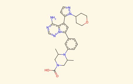 CC1CN(C(=O)O)CC(C)N1c1cccc(-c2cc(-c3ccnn3C3CCOCC3)c3c(N)ncnn23)c1